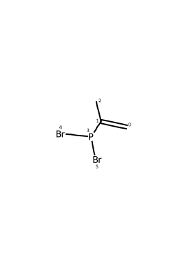 C=C(C)P(Br)Br